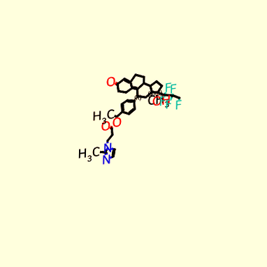 Cc1nccn1CCC(=O)OC(C)c1ccc([C@H]2C[C@@]3(C)C(CC[C@@]3(O)C(F)(F)C(F)(F)CF)C3CCC4=CC(=O)CCC4=C32)cc1